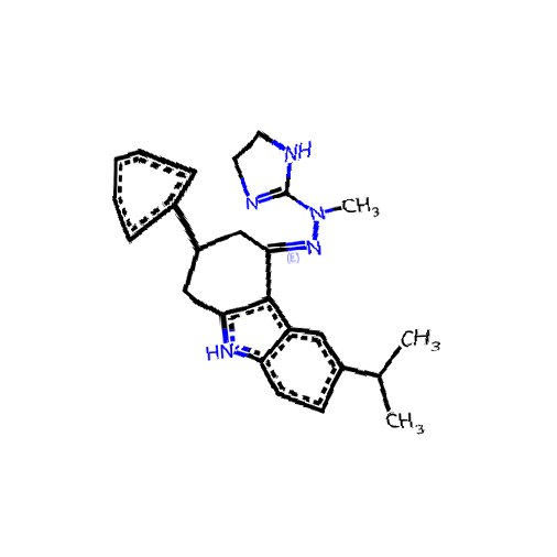 CC(C)c1ccc2[nH]c3c(c2c1)/C(=N/N(C)C1=NCCN1)CC(c1ccccc1)C3